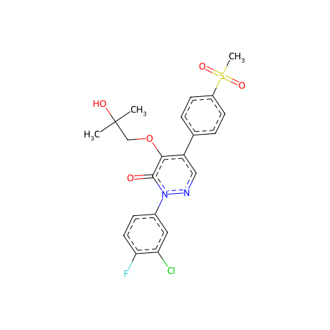 CC(C)(O)COc1c(-c2ccc(S(C)(=O)=O)cc2)cnn(-c2ccc(F)c(Cl)c2)c1=O